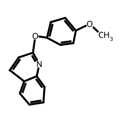 COc1ccc(Oc2ccc3ccccc3n2)cc1